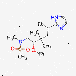 CCC(CC(C)(C)C(CN(C)S(C)(=O)=O)OC(C)C)c1ncc[nH]1